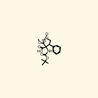 COC(=O)C(NC(=O)OC(C)(C)C)(C(=O)O)C(C[N+](=O)[O-])c1ccccc1